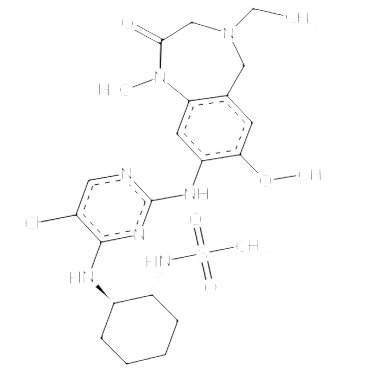 CCN1CC(=O)N(C)c2cc(Nc3ncc(Cl)c(N[C@@H]4CCCC[C@H]4NS(C)(=O)=O)n3)c(OC)cc2C1